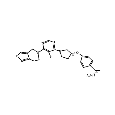 CC(=O)N[C@@H](C)c1ccc(O[C@@H]2CCN(c3ncnc(N4CCc5nocc5C4)c3F)C2)cc1